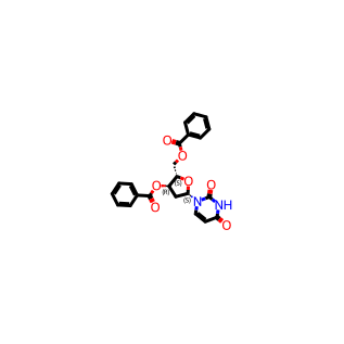 O=C(OC[C@@H]1O[C@H](n2ccc(=O)[nH]c2=O)C[C@H]1OC(=O)c1ccccc1)c1ccccc1